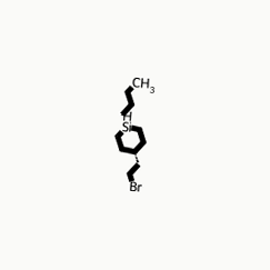 CCCC[Si@H]1CC[C@H](CCBr)CC1